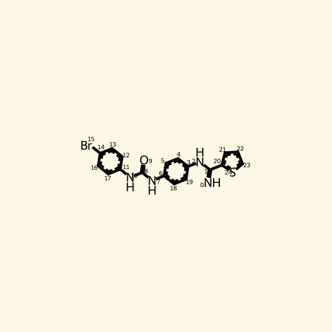 N=C(Nc1ccc(NC(=O)Nc2ccc(Br)cc2)cc1)c1cccs1